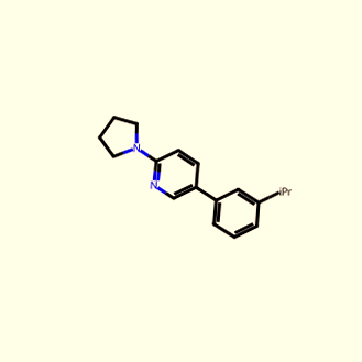 CC(C)c1cccc(-c2ccc(N3CCCC3)nc2)c1